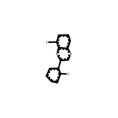 Clc1ccccc1-c1cnc2cccc(Cl)c2n1